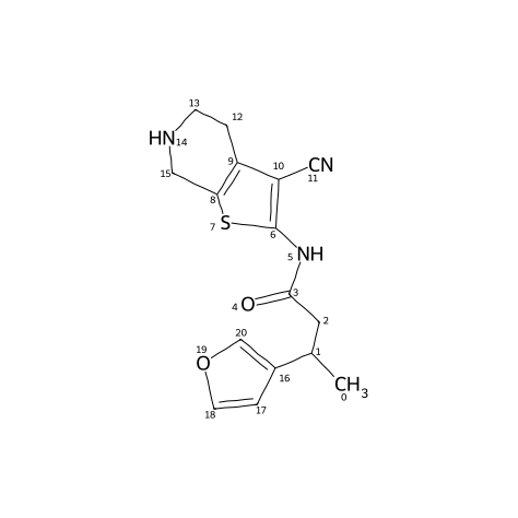 CC(CC(=O)Nc1sc2c(c1C#N)CCNC2)c1ccoc1